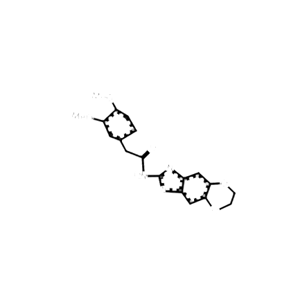 COc1ccc(CC(=O)Nc2nc3cc4c(cc3s2)OCCO4)cc1OC